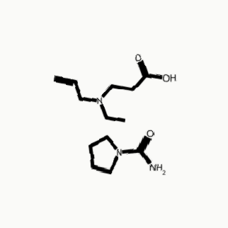 C=CCN(CC)CCC(=O)O.NC(=O)N1CCCC1